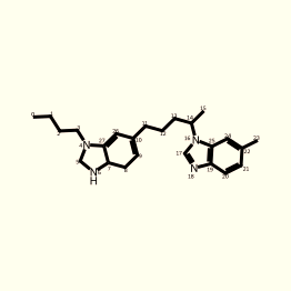 CCCCN1CNC2CC=C(CCCC(C)n3cnc4ccc(C)cc43)C=C21